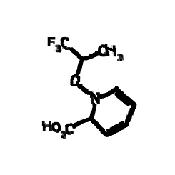 CC(ON1C=CC=CC1C(=O)O)C(F)(F)F